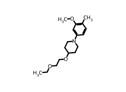 CCOCCOC1CCN(c2ccc(C)c(OC)c2)CC1